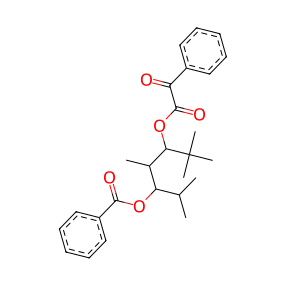 CC(C)C(OC(=O)c1ccccc1)C(C)C(OC(=O)C(=O)c1ccccc1)C(C)(C)C